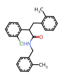 Cc1ccccc1CNC(=O)C(Cc1ccccc1C)c1ccccc1Cl